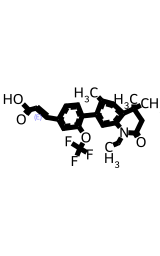 CCN1C(=O)CC(C)(C)c2cc(C)c(-c3ccc(/C=C/C(=O)O)cc3OC(F)(F)F)cc21